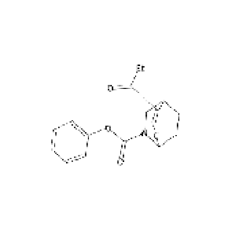 CCC(=O)C1=CCC2CCC1CN2C(=O)Oc1ccccc1